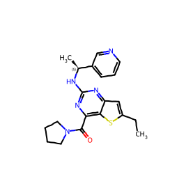 CCc1cc2nc(N[C@@H](C)c3cccnc3)nc(C(=O)N3CCCC3)c2s1